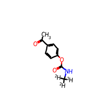 [2H]C([2H])([2H])NC(=O)Oc1ccc(C(C)=O)cc1